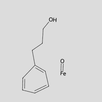 OCCCc1ccccc1.[O]=[Fe]